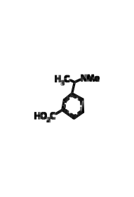 CNC(C)c1cccc(C(=O)O)c1